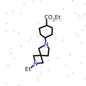 CCOC(=O)C1CCC(N2CCC3(CN(CC)C3)C2)CC1